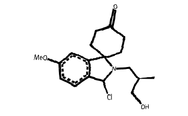 COc1ccc2c(c1)C1(CCC(=O)CC1)N(C[C@@H](C)CO)C2Cl